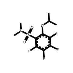 CC(C)Oc1c(F)c(F)c(F)c(F)c1S(=O)(=O)N(C)C